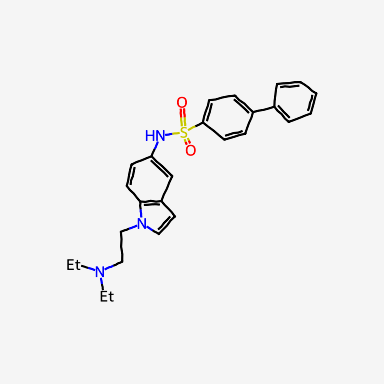 CCN(CC)CCn1ccc2cc(NS(=O)(=O)c3ccc(-c4ccccc4)cc3)ccc21